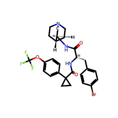 O=C(N[C@@H]1C[N@]2CC[C@H]1CC2)[C@H](Cc1ccc(Br)cc1)NC(=O)C1(c2ccc(OC(F)(F)F)cc2)CC1